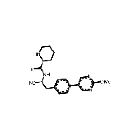 COc1ncc(-c2ccc(C[C@@H](C#N)NC(=O)[C@@H]3CCCCN3)cc2)cn1